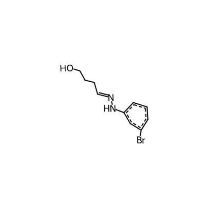 OCCCC=NNc1cccc(Br)c1